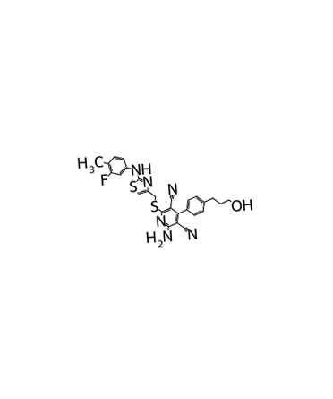 Cc1ccc(Nc2nc(CSc3nc(N)c(C#N)c(-c4ccc(CCCO)cc4)c3C#N)cs2)cc1F